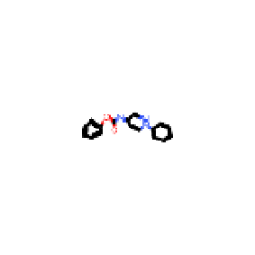 O=C(/N=c1\ccn(-c2ccccc2)nc1)Oc1ccccc1